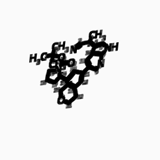 CC(C#N)c1c[nH]c2ncc(-c3cc4c(c(C5CCCN5C(=O)OC(C)(C)C)c3)COCC4)cc12